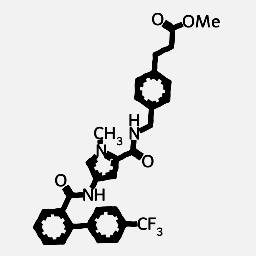 COC(=O)CCc1ccc(CNC(=O)c2cc(NC(=O)c3ccccc3-c3ccc(C(F)(F)F)cc3)cn2C)cc1